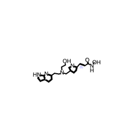 O=C(/C=C/c1ccc(CN(CCO)CCc2ccc3cc[nH]c3n2)cn1)NO